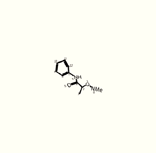 CNOC(C)C(=O)Nc1ccccc1